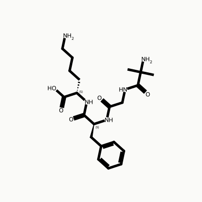 CC(C)(N)C(=O)NCC(=O)N[C@@H](Cc1ccccc1)C(=O)N[C@@H](CCCCN)C(=O)O